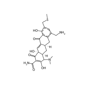 CSCc1cc(CN)c2c(c1O)C(=O)C1=C[C@]3(O)C(=O)C(C(N)=O)=C(O)C(N(C)C)[C@@H]3C[C@@H]1C2